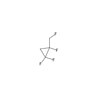 FCC1(F)CC1(F)F